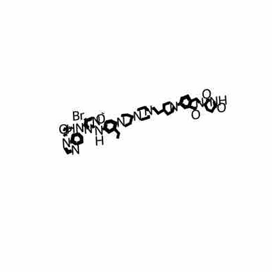 CCc1cc(Nc2ncc(Br)c(Nc3ccc4nccnc4c3P(C)(C)=O)n2)c(OC)cc1N1CCC(N2CCN(CCC3CCN(c4ccc5c(c4)C(=O)N(C4CCC(=O)NC4=O)C5)CC3)CC2)CC1